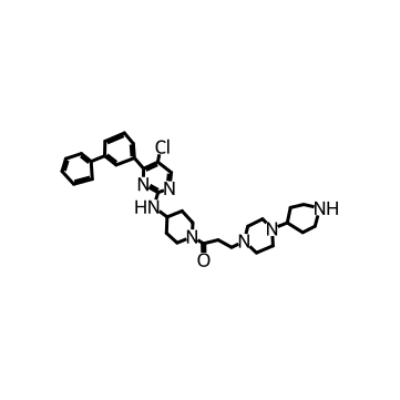 O=C(CCN1CCN(C2CCNCC2)CC1)N1CCC(Nc2ncc(Cl)c(-c3cccc(-c4ccccc4)c3)n2)CC1